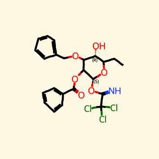 CCC1O[C@@H](OC(=N)C(Cl)(Cl)Cl)C(OC(=O)c2ccccc2)C(OCc2ccccc2)[C@@H]1O